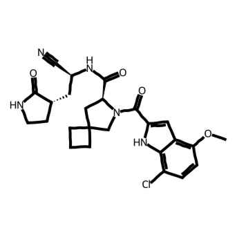 COc1ccc(Cl)c2[nH]c(C(=O)N3CC4(CCC4)C[C@H]3C(=O)N[C@H](C#N)C[C@@H]3CCNC3=O)cc12